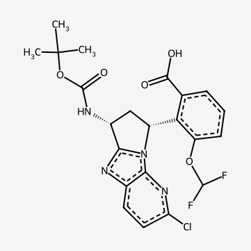 CC(C)(C)OC(=O)N[C@@H]1C[C@H](c2c(OC(F)F)cccc2C(=O)O)n2c1nc1ccc(Cl)nc12